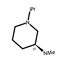 CN[C@H]1CCCN(C(C)C)C1